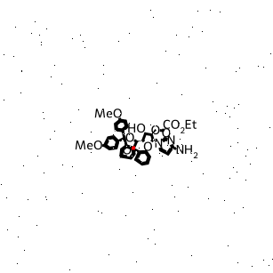 CCOC(=O)CO[C@@H]1[C@H](O)[C@@H](C(OC(c2ccccc2)(c2ccc(OC)cc2)c2ccc(OC)cc2)C(=O)c2ccccc2)O[C@H]1n1ccc(N)nc1=O